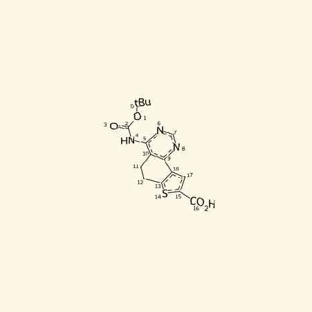 CC(C)(C)OC(=O)Nc1ncnc2c1CCc1sc(C(=O)O)cc1-2